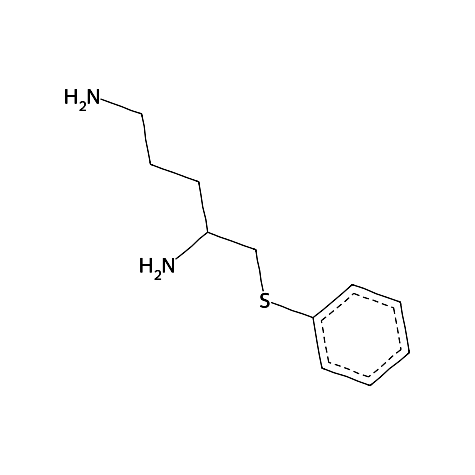 NCCCC(N)CSc1ccccc1